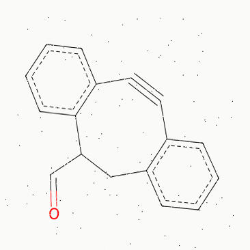 O=CC1Cc2ccccc2C#Cc2ccccc21